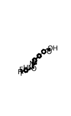 O=C(O)C[C@H]1CC[C@H](c2ccc(-c3ccc4nc(C(=O)NCc5ccc(C(F)(F)F)cc5)cn4c3)cc2)CC1